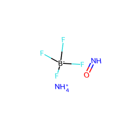 F[B-](F)(F)F.N=O.[NH4+]